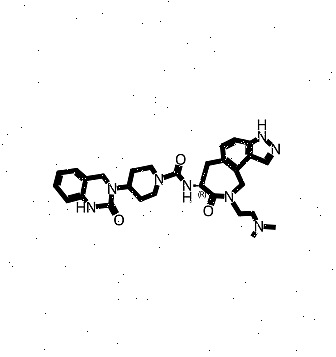 CN(C)CCN1Cc2c(ccc3[nH]ncc23)C[C@@H](NC(=O)N2CCC(N3Cc4ccccc4NC3=O)CC2)C1=O